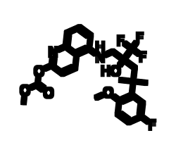 COC(=O)Oc1ccc2c(NCC(O)(CC(C)(C)c3cc(F)ccc3OC)C(F)(F)F)cccc2n1